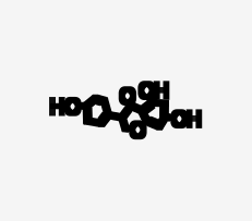 O=C1c2c(O)cc(O)cc2OCC1c1ccc(O)cc1